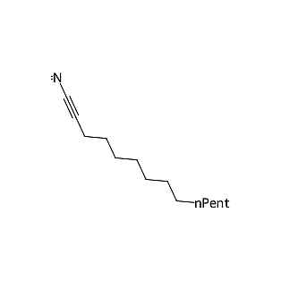 CCCCCCCCCCCCC#C[N]